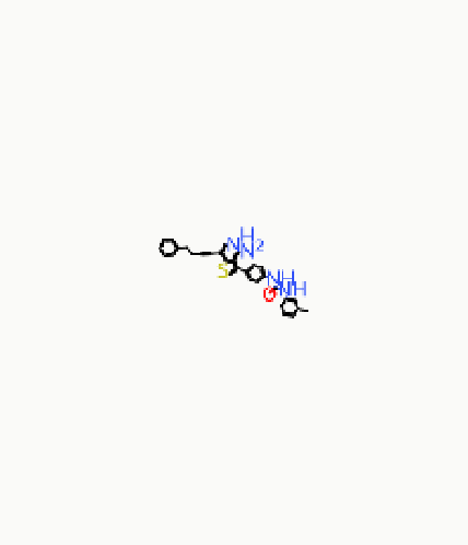 Cc1cccc(NC(=O)Nc2ccc(-c3csc4c(C#CCCc5ccccc5)cnc(N)c34)cc2)c1